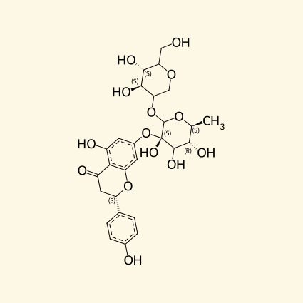 C[C@@H]1OC(OC2COC(CO)[C@@H](O)[C@@H]2O)[C@@](O)(Oc2cc(O)c3c(c2)O[C@H](c2ccc(O)cc2)CC3=O)C(O)[C@H]1O